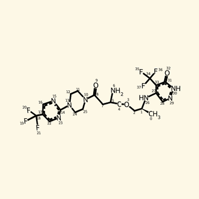 C[C@@H](COCC(N)CC(=O)N1CCN(c2ncc(C(F)(F)F)cn2)CC1)Nc1cn[nH]c(=O)c1C(F)(F)F